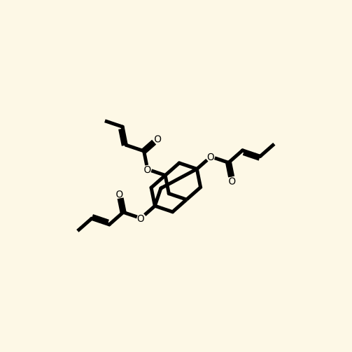 CC=CC(=O)OC12CC3CC(OC(=O)C=CC)(C1)CC(OC(=O)C=CC)(C3)C2